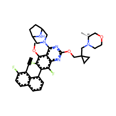 C#Cc1c(F)ccc2cccc(-c3c(F)c(OC)c4c(N5CC6CCC(C5)N6)nc(OCC5(CN6CCOC[C@H]6C)CC5)nc4c3F)c12